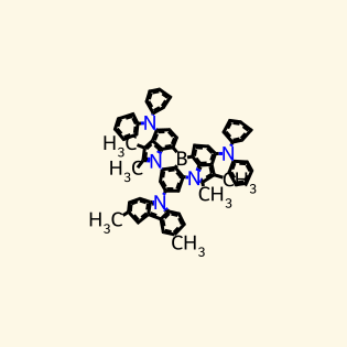 Cc1ccc2c(c1)c1cc(C)ccc1n2-c1cc2c3c(c1)-n1c(C)c(C)c4c(N(c5ccccc5)c5ccccc5)ccc(c41)B3c1ccc(N(c3ccccc3)c3ccccc3)c3c(C)c(C)n-2c13